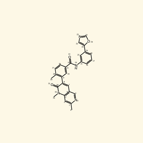 Cc1cc2c(cn1)cc(-c1cc(C(=O)Nc3cccc(-c4cnco4)c3)ccc1C)c(=O)n2C